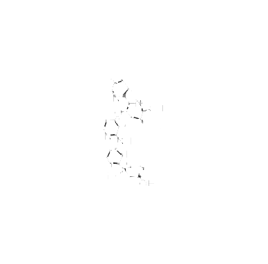 Cc1cc(Oc2ccnc(Nc3cccc(C(C)(C)CC(=O)O)c3)c2)c(-c2ccccn2)nc1C